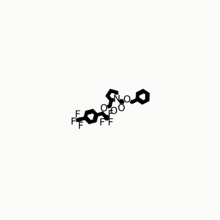 O=C(O[C@@H](c1ccc(C(F)(F)F)cc1)C(F)(F)F)C1CCCN1C(=O)OCc1ccccc1